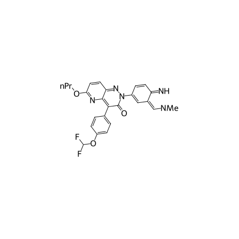 CCCOc1ccc2nn(C3=C/C(=C/NC)C(=N)C=C3)c(=O)c(-c3ccc(OC(F)F)cc3)c2n1